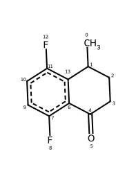 CC1CCC(=O)c2c(F)ccc(F)c21